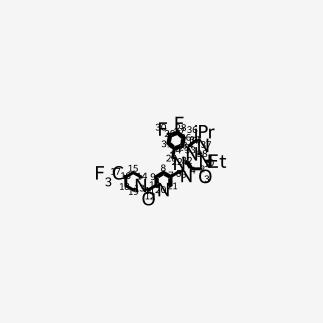 CCN1C(=O)c2nc(-c3ccc(C(=O)N4CCC(C(F)(F)F)CC4)nc3)n(Cc3ccc(F)c(F)c3)c2N2C[C@@H](C(C)C)N=C12